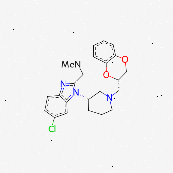 CNCc1nc2ccc(Cl)cc2n1[C@H]1CCCN(C[C@H]2COc3ccccc3O2)C1